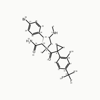 CNCC[N+](C)(C(=O)C1(c2ccc(C(F)(F)F)cc2F)CC1)[C@@H](Cc1ccc(Br)cc1)C(N)=O